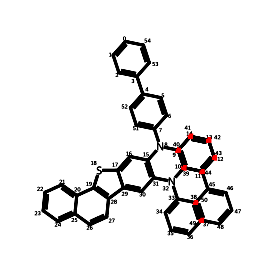 c1ccc(-c2ccc(N(c3ccccc3)c3cc4sc5c6ccccc6ccc5c4cc3N(c3ccccc3)c3ccccc3-c3ccccc3)cc2)cc1